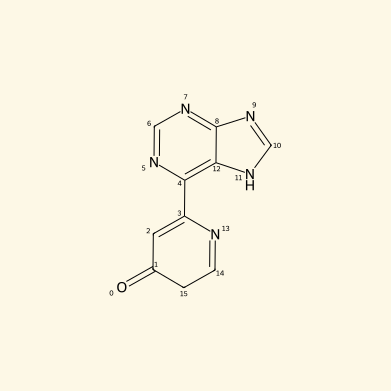 O=C1C=C(c2ncnc3nc[nH]c23)N=CC1